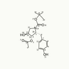 CC(=O)O[C@H]1[C@@H](Cc2ccc(O)cc2)N(C(=O)OC(C)(C)C)C[C@@H]1O